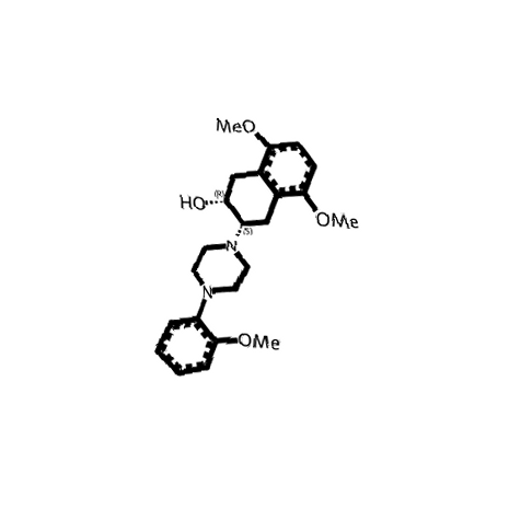 COc1ccccc1N1CCN([C@H]2Cc3c(OC)ccc(OC)c3C[C@H]2O)CC1